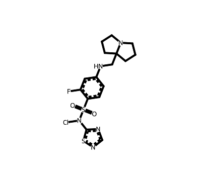 O=S(=O)(c1ccc(NCC23CCCN2CCC3)cc1F)N(Cl)c1ncns1